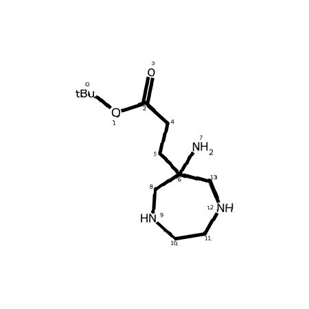 CC(C)(C)OC(=O)CCC1(N)CNCCNC1